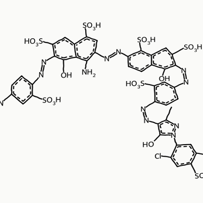 Cc1nn(-c2cc(Cl)c(S(=O)(=O)O)cc2Cl)c(O)c1/N=N\c1ccc(/N=N\c2c(S(=O)(=O)O)cc3c(S(=O)(=O)O)c(N=Nc4cc(S(=O)(=O)O)c5cc(S(=O)(=O)O)c(N=Nc6ccc([N+](=O)[O-])cc6S(=O)(=O)O)c(O)c5c4N)ccc3c2O)cc1S(=O)(=O)O